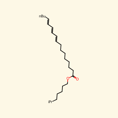 CCCCC=CC=CC=CCCCCCCCC(=O)OCCCCCC(C)C